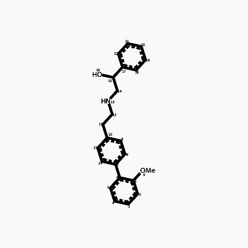 COc1ccccc1-c1ccc(CCNCC(O)c2ccccc2)cc1